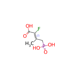 C/C(CP(=O)(O)O)=C(/F)C(=O)O